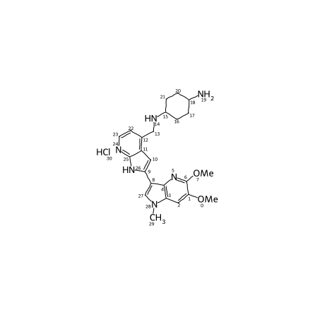 COc1cc2c(nc1OC)c(-c1cc3c(CNC4CCC(N)CC4)ccnc3[nH]1)cn2C.Cl